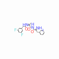 C[C@H](NC(=O)Cc1cc(F)cc(F)c1)C(=O)NC(=O)[C@@H](N)Cc1ccccc1